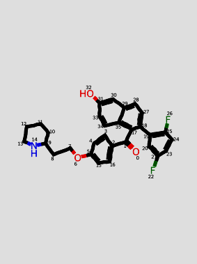 O=C(c1ccc(OCCC2CCCCN2)cc1)c1c(-c2cc(F)ccc2F)ccc2cc(O)ccc12